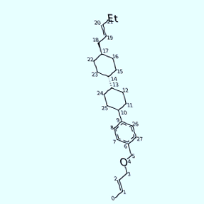 C/C=C/COCc1ccc(C2CCC([C@H]3CC[C@H](C/C=C/CC)CC3)CC2)cc1